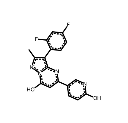 Cc1nn2c(O)cc(-c3ccc(O)nc3)nc2c1-c1ccc(F)cc1F